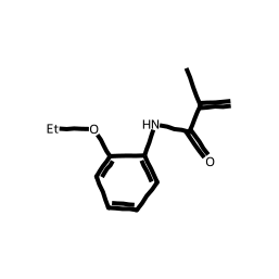 C=C(C)C(=O)Nc1ccccc1OCC